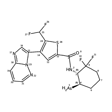 O=C(N[C@H]1[C@H]([AsH2])CCCC1(F)F)c1cc(-c2cnc3cccnn23)c(C(F)F)s1